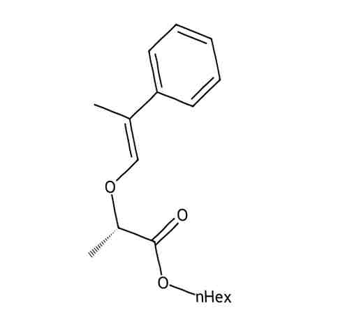 CCCCCCOC(=O)[C@H](C)OC=C(C)c1ccccc1